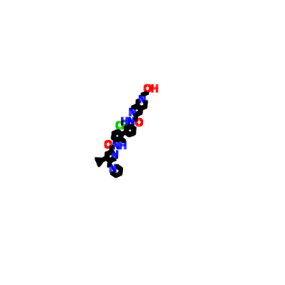 Cc1c(NC(=O)c2cc(C3CC3)c(CN3CCCCC3)cn2)cccc1-c1cccc(NC(=O)c2cc3c(cn2)CN(CCO)CC3)c1Cl